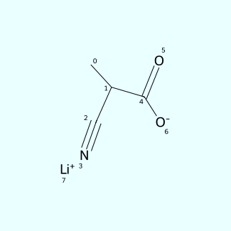 CC(C#N)C(=O)[O-].[Li+]